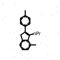 CCCC1=C(c2ccc(C)cc2)[CH]c2cccc(C)c21